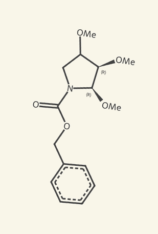 COC1CN(C(=O)OCc2ccccc2)[C@H](OC)[C@@H]1OC